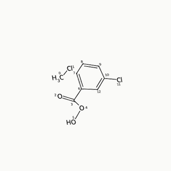 CCl.O=C(OO)c1cccc(Cl)c1